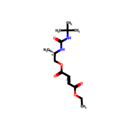 CCOC(=O)/C=C/C(=O)OC[C@H](C)NC(=O)NC(C)(C)C